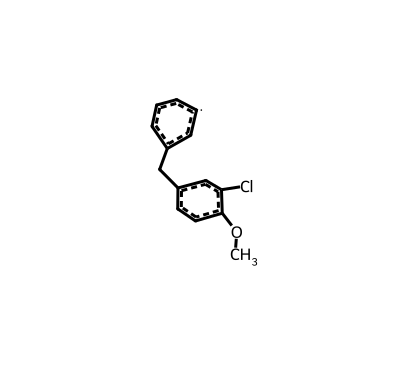 COc1ccc(Cc2c[c]ccc2)cc1Cl